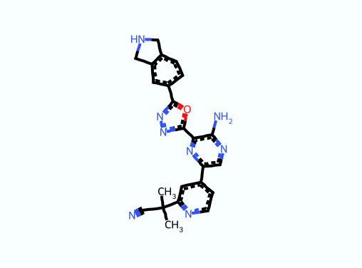 CC(C)(C#N)c1cc(-c2cnc(N)c(-c3nnc(-c4ccc5c(c4)CNC5)o3)n2)ccn1